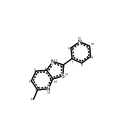 Cc1ccc2nc(-c3cccnc3)sc2n1